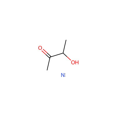 CC(=O)C(C)O.[N]